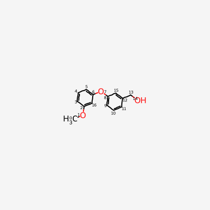 COc1cccc(Oc2cccc(CO)c2)c1